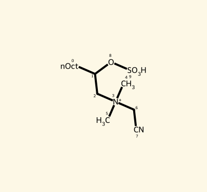 CCCCCCCCC(C[N+](C)(C)CC#N)OS(=O)(=O)O